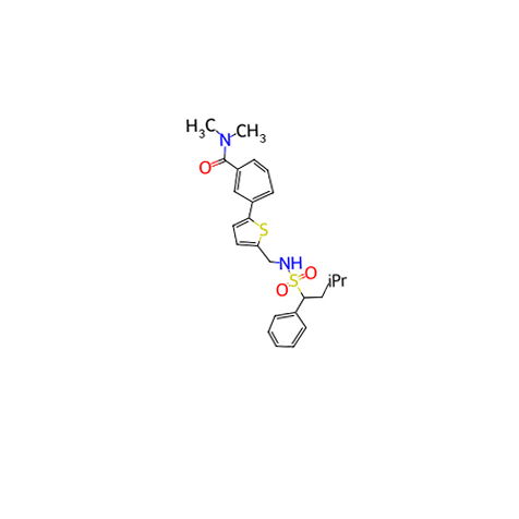 CC(C)CC(c1ccccc1)S(=O)(=O)NCc1ccc(-c2cccc(C(=O)N(C)C)c2)s1